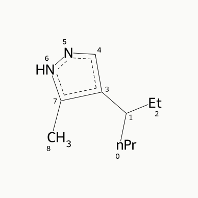 CCCC(CC)c1cn[nH]c1C